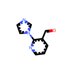 O=Cc1cccnc1-n1ccnc1